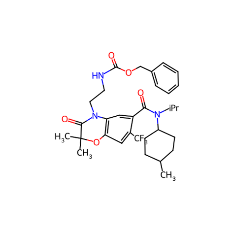 CC1CCC(N(C(=O)c2cc3c(cc2C(F)(F)F)OC(C)(C)C(=O)N3CCNC(=O)OCc2ccccc2)C(C)C)CC1